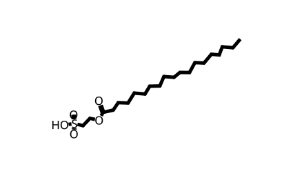 CCCCCCCCCCCCCCCCCCC(=O)OCCS(=O)(=O)O